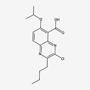 CCCCc1nc2ccc(OC(C)C)c(C(=O)O)c2nc1Cl